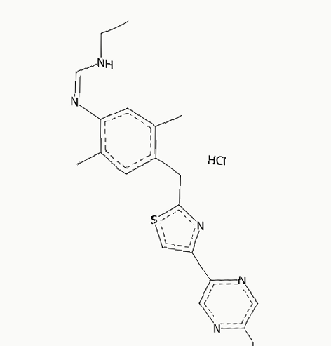 CCN/C=N\c1cc(C)c(Cc2nc(-c3cnc(C)cn3)cs2)cc1C.Cl